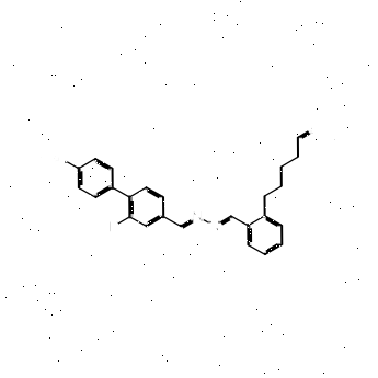 C=CCCCCc1ccccc1C=NN=Cc1ccc(-c2ccc(CCCC)cc2)c(F)c1